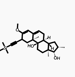 COC1=CC2=CC[C@H]3[C@@H]4C[C@H](C)[C@H](O)[C@@]4(C)CC[C@]3(O)[C@@]2(C)CC1C#C[Si](C)(C)C